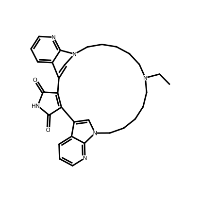 CCN1CCCCCn2cc(c3cccnc32)C2=C(C(=O)NC2=O)c2cn(c3ncccc23)CCCCC1